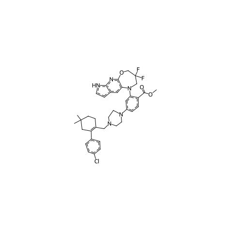 COC(=O)c1ccc(N2CCN(CC3=C(c4ccc(Cl)cc4)CC(C)(C)CC3)CC2)cc1N1CC(F)(F)COc2nc3[nH]ccc3cc21